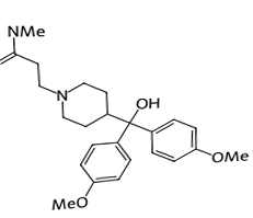 CNC(=O)CCN1CCC(C(O)(c2ccc(OC)cc2)c2ccc(OC)cc2)CC1